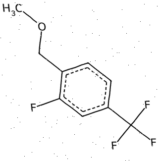 COCc1ccc(C(F)(F)F)cc1F